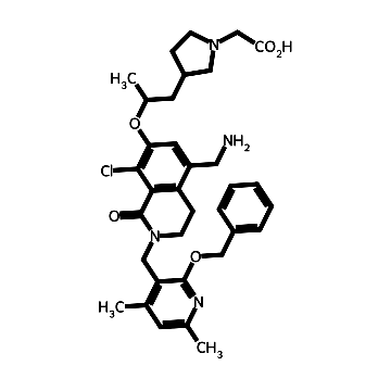 Cc1cc(C)c(CN2CCc3c(CN)cc(OC(C)CC4CCN(CC(=O)O)C4)c(Cl)c3C2=O)c(OCc2ccccc2)n1